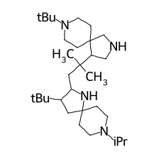 CC(C)N1CCC2(CC1)CC(C(C)(C)C)C(CC(C)(C)C1CNCC13CCN(C(C)(C)C)CC3)N2